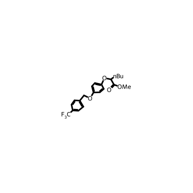 CCCCC(Oc1ccc(OCc2ccc(C(F)(F)F)cc2)cc1)C(=O)OC